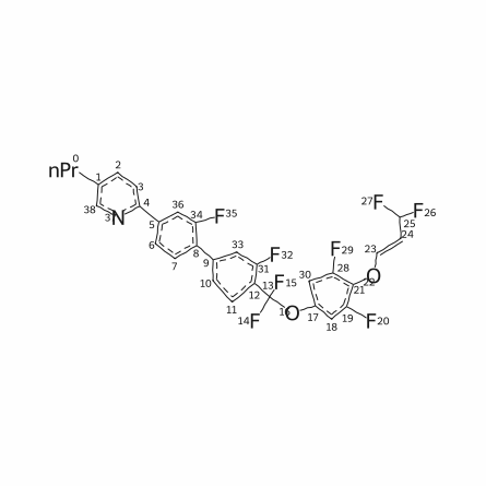 CCCc1ccc(-c2ccc(-c3ccc(C(F)(F)Oc4cc(F)c(O/C=C/C(F)F)c(F)c4)c(F)c3)c(F)c2)nc1